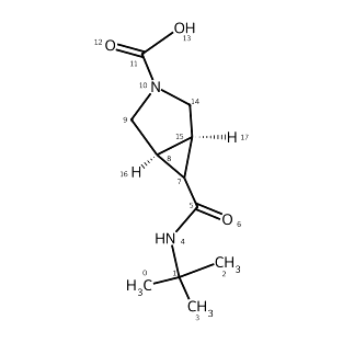 CC(C)(C)NC(=O)C1[C@H]2CN(C(=O)O)C[C@@H]12